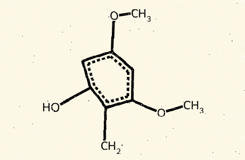 [CH2]c1c(O)cc(OC)cc1OC